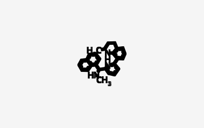 CNC(c1cccc(-c2cccc3c2NC(C)CC3)n1)c1cccc2ccccc12